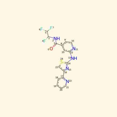 O=C(NC(F)C(F)F)c1ccnc(Nc2nc(-c3ccccn3)cs2)c1